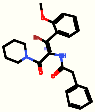 COc1ccccc1/C(Br)=C(\NC(=O)Cc1ccccc1)C(=O)N1CCCCC1